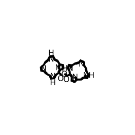 O=C(OC(=O)c1c2nc(cc3ccc(cc4nc(cc5ccc1[nH]5)C=C4)[nH]3)C=C2)c1c2nc(cc3ccc(cc4nc(cc5ccc1[nH]5)C=C4)[nH]3)C=C2